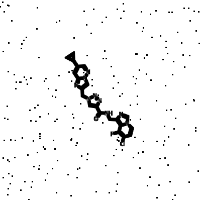 O=C(NCc1ncn2ccc(Cl)c(F)c12)c1cn(Cc2cn3ncc(C4CC4)cc3n2)nn1